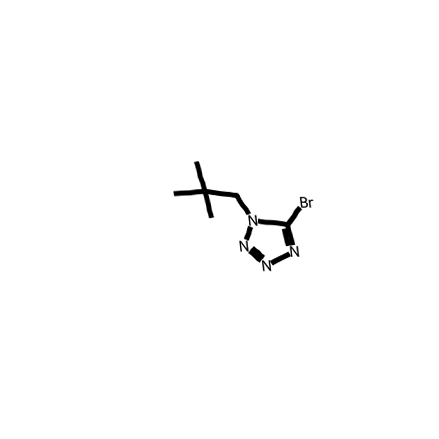 CC(C)(C)Cn1nnnc1Br